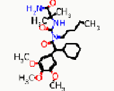 CCCCCN(C(=O)NC(C)(C)C(N)=O)C(=O)C(c1cc(OC)c(OC)c(OC)c1)C1CCCCC1